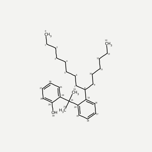 CCCCCCCCC(CCCCCC)c1ccccc1C(C)(C)c1ccccc1O